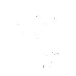 COC(=O)Nc1ccc(-c2cn([C@@H](C)c3ccccn3)c3cc(-c4c(C)noc4C)cnc23)cc1